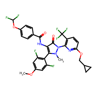 COc1cc(F)c(-c2c(NC(=O)c3ccc(OC(F)F)cc3)c(=O)n(-c3nc(OCC4CC4)ccc3C(F)(F)F)n2C)c(F)c1